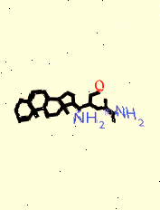 C/C(N)=C(/C)CC(CC=O)C(N)C1CCC2C3CC=C4CCC=CC4(C)C3CCC12C